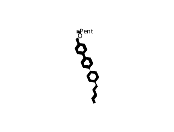 CC=CCC[C@H]1CC[C@H](c2ccc(-c3ccc(COCCCCC)cc3)cc2)CC1